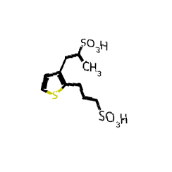 CC(Cc1ccsc1CCCS(=O)(=O)O)S(=O)(=O)O